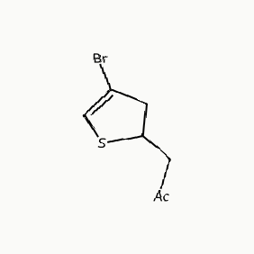 CC(=O)CC1CC(Br)=CS1